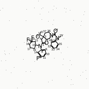 CC(=O)C1(CC(=O)N(c2cccc(F)c2)C2CCCC(F)(F)C2)CCN(C(=O)N(C)c2ccccc2)CC1